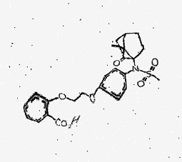 CC1(C)C2CCC1(N(c1ccc(OCCOc3ccccc3C(=O)O)cc1)S(C)(=O)=O)C(=O)C2